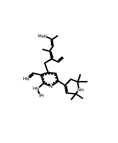 C=C/C(Cc1cc(C2=CC(C)(C)NC(C)(C)C2)nc(NC(C)C)c1C=N)=C(C)\C=C(\C)NC